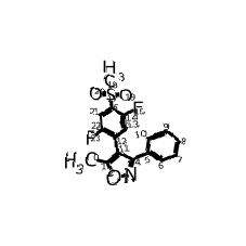 Cc1onc(-c2ccccc2)c1-c1cc(F)c(S(C)(=O)=O)cc1F